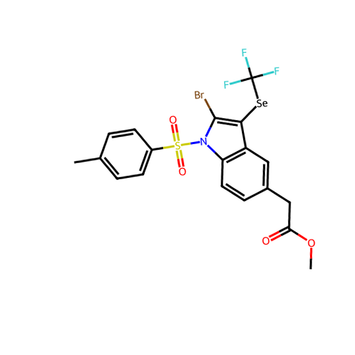 COC(=O)Cc1ccc2c(c1)c([Se]C(F)(F)F)c(Br)n2S(=O)(=O)c1ccc(C)cc1